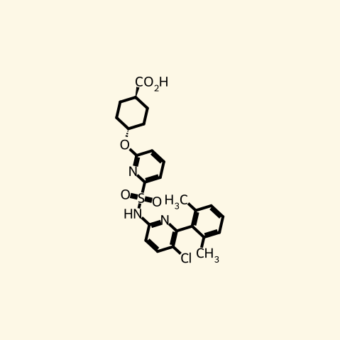 Cc1cccc(C)c1-c1nc(NS(=O)(=O)c2cccc(O[C@H]3CC[C@H](C(=O)O)CC3)n2)ccc1Cl